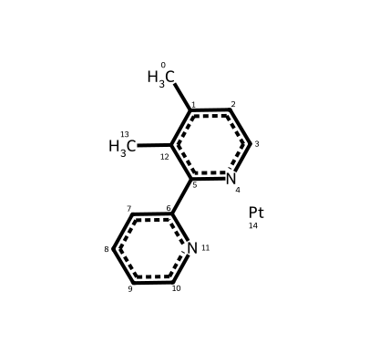 Cc1ccnc(-c2ccccn2)c1C.[Pt]